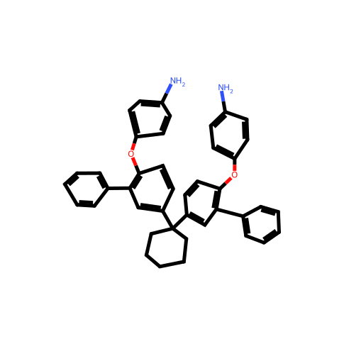 Nc1ccc(Oc2ccc(C3(c4ccc(Oc5ccc(N)cc5)c(-c5ccccc5)c4)CCCCC3)cc2-c2ccccc2)cc1